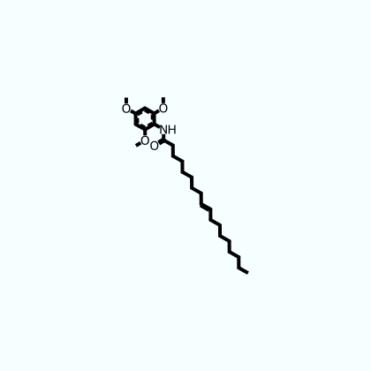 CCCCCCCCC=CCCCCCCCC(=O)Nc1c(OC)cc(OC)cc1OC